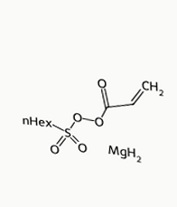 C=CC(=O)OOS(=O)(=O)CCCCCC.[MgH2]